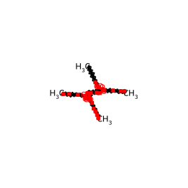 CCCCCCCCCCCCOC(=O)c1ccc(CCc2ccc(C(=O)OCCCCCCCCCCCC)c(C(=O)OCCCCCCCCCCCC)c2)cc1C(=O)OCCCCCCCCCCCC